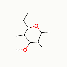 CCC1OC(C)C(C)C(OC)C1C